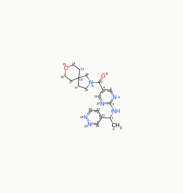 CC(Nc1ncc(C(=O)N2CCC3(CCOCC3)C2)cn1)c1ccnnc1